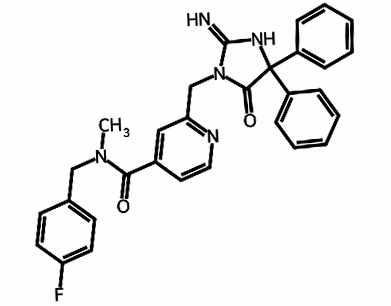 CN(Cc1ccc(F)cc1)C(=O)c1ccnc(CN2C(=N)NC(c3ccccc3)(c3ccccc3)C2=O)c1